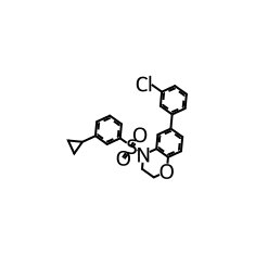 O=S(=O)(c1cccc(C2CC2)c1)N1CCOc2ccc(-c3cccc(Cl)c3)cc21